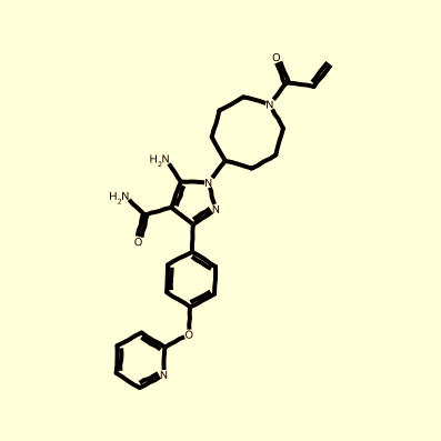 C=CC(=O)N1CCCC(n2nc(-c3ccc(Oc4ccccn4)cc3)c(C(N)=O)c2N)CCC1